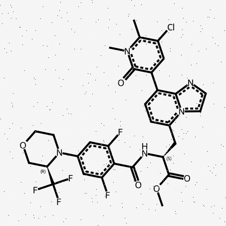 COC(=O)[C@H](Cc1ccc(-c2cc(Cl)c(C)n(C)c2=O)c2nccn12)NC(=O)c1c(F)cc(N2CCOC[C@@H]2C(F)(F)F)cc1F